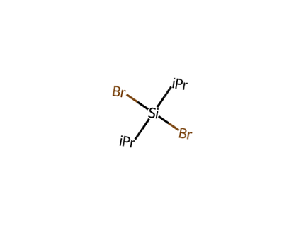 CC(C)[Si](Br)(Br)C(C)C